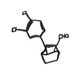 O=CC1C2C=CC(CC2)C1c1ccc(Cl)c(Cl)c1